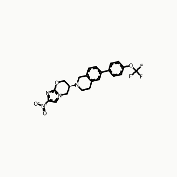 O=[N+]([O-])c1cn2c(n1)OC[C@@H](N1CCc3cc(-c4ccc(OC(F)(F)F)cc4)ccc3C1)C2